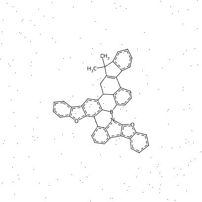 CC1(C)C2=C(c3ccccc31)c1cccc3c1C(C2)c1cc2c(oc4ccccc42)c2c1B3n1c3oc4ccccc4c3c3cccc-2c31